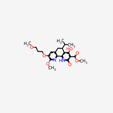 COCCCOc1cc2c(nc1OC)-c1[nH]c(=O)c(C(=O)OC)c(O)c1C(C(C)C)C2